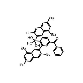 CCC(C)c1cc(C(C)CC)c2cc(-c3cc(C(=O)c4ccccc4)ccc3P(O)(O)(O)c3cc4c(C(C)CC)cc(C(C)CC)cc4cc3C(C)CC)c(C(C)CC)cc2c1